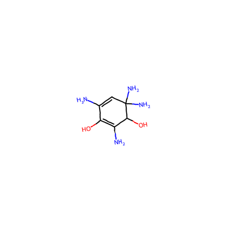 NC1=CC(N)(N)C(O)C(N)=C1O